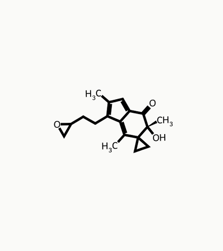 CC1=C(CCC2CO2)C2=C(C)C3(CC3)[C@@](C)(O)C(=O)C2=C1